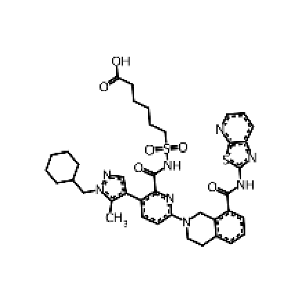 Cc1c(-c2ccc(N3CCc4cccc(C(=O)Nc5nc6cccnc6s5)c4C3)nc2C(=O)NS(=O)(=O)CCCCCC(=O)O)cnn1CC1CCCCC1